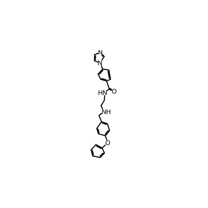 O=C(NCCNCc1ccc(Oc2ccccc2)cc1)c1ccc(-n2ccnc2)cc1